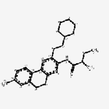 CCC(C)C(=O)Nc1nc2c(nc1CCC1CCCCC1)-c1ccc(N)cc1CC2